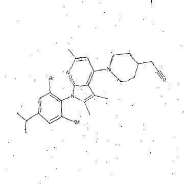 Cc1cc(N2CCC(CC#N)CC2)c2c(C)c(C)n(-c3c(Br)cc(C(C)C)cc3Br)c2n1